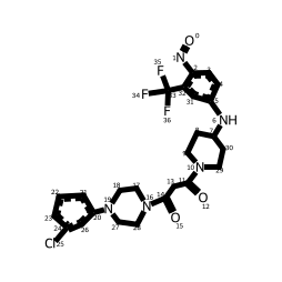 O=Nc1ccc(NC2CCN(C(=O)CC(=O)N3CCN(c4cccc(Cl)c4)CC3)CC2)cc1C(F)(F)F